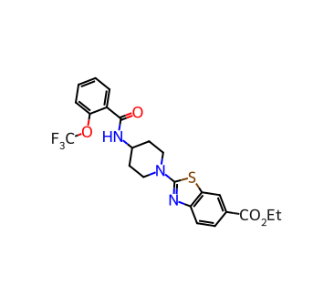 CCOC(=O)c1ccc2nc(N3CCC(NC(=O)c4ccccc4OC(F)(F)F)CC3)sc2c1